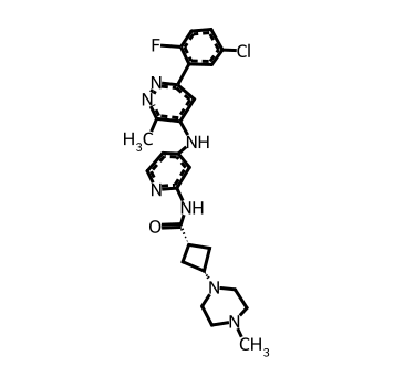 Cc1nnc(-c2cc(Cl)ccc2F)cc1Nc1ccnc(NC(=O)[C@H]2C[C@@H](N3CCN(C)CC3)C2)c1